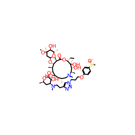 CC[C@H]1OC(=O)[C@H](C)[C@@H](O[C@H]2C[C@@](C)(OC)[C@@H](O)[C@H](C)O2)[C@H](C)[C@@H](O[C@@H]2O[C@H](C)C[C@H](N(C)CCc3cn(CCCOc4ccc([S+](C)[O-])cc4)nn3)[C@H]2O)[C@](C)(O)C[C@@H](C)CN(C)[C@H](C)[C@@H](O)[C@]1(C)O